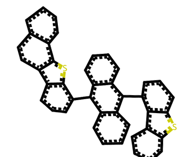 c1ccc2c(c1)ccc1c3cccc(-c4c5ccccc5c(-c5cccc6sc7ccccc7c56)c5ccccc45)c3sc21